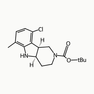 Cc1ccc(Cl)c2c1N[C@@H]1CCN(C(=O)OC(C)(C)C)C[C@H]21